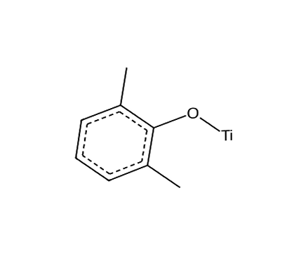 Cc1cccc(C)c1[O][Ti]